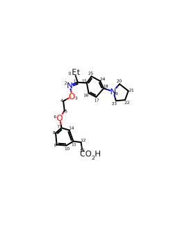 CCC(=NOCCOc1cccc(CC(=O)O)c1)c1ccc(N2CCCC2)cc1